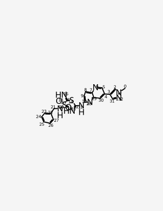 Cn1cc(-c2cnc3ccc(NC(=N)SC(=N)S(=O)(=O)NCc4ccccc4)nc3c2)cn1